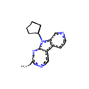 Cc1ncc2c3ccncc3n(C3CCCC3)c2n1